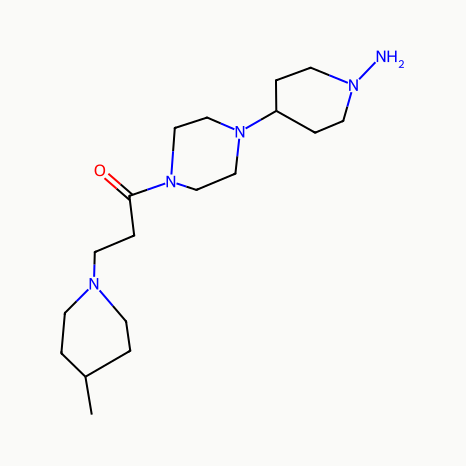 CC1CCN(CCC(=O)N2CCN(C3CCN(N)CC3)CC2)CC1